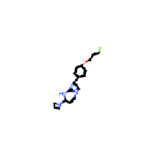 FCCCOc1ccc(-c2cn3c(n2)NC(N2CCC2)C=C3)cc1